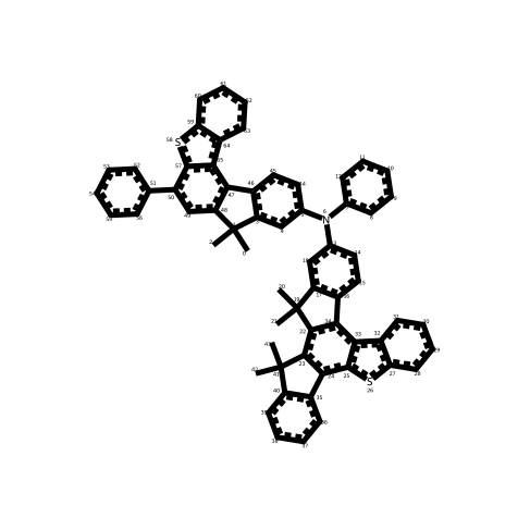 CC1(C)c2cc(N(c3ccccc3)c3ccc4c(c3)C(C)(C)c3c5c(c6sc7ccccc7c6c3-4)-c3ccccc3C5(C)C)ccc2-c2c1cc(-c1ccccc1)c1sc3ccccc3c21